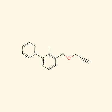 C#CCOCc1cccc(-c2ccccc2)c1C